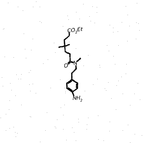 CCOC(=O)CCC(C)(C)CCC(=O)N(C)CCc1ccc(N)cc1